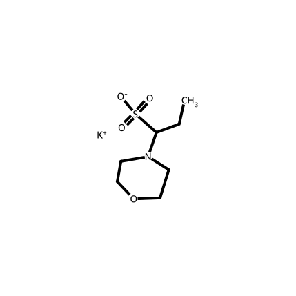 CCC(N1CCOCC1)S(=O)(=O)[O-].[K+]